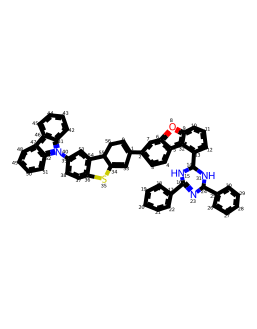 C1=C(c2ccc3c(c2)oc2cccc(C4NC(c5ccccc5)=NC(c5ccccc5)N4)c23)C=C2Sc3ccc(-n4c5ccccc5c5ccccc54)cc3C2C1